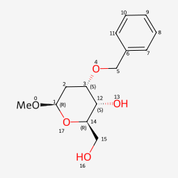 CO[C@H]1C[C@H](OCc2ccccc2)[C@H](O)[C@@H](CO)O1